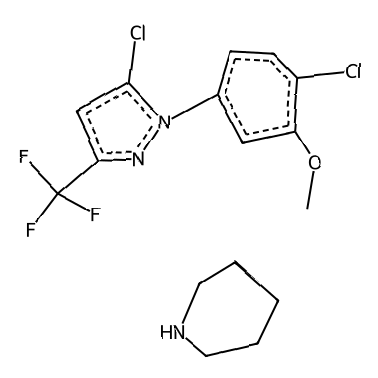 C1CCNCC1.COc1cc(-n2nc(C(F)(F)F)cc2Cl)ccc1Cl